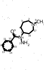 CN1CCCC(N(N)C(=O)c2ccccc2)CC1